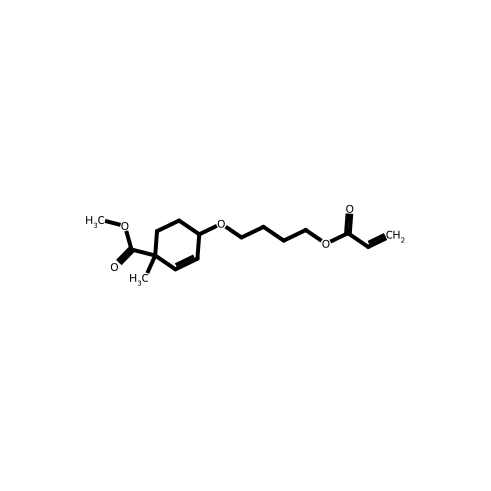 C=CC(=O)OCCCCOC1C=CC(C)(C(=O)OC)CC1